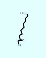 CC(C)CC(=O)CCCCCCCCC(=O)O